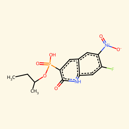 CCC(C)OP(=O)(O)c1cc2cc([N+](=O)[O-])c(F)cc2[nH]c1=O